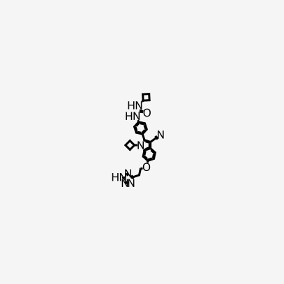 N#Cc1c(-c2ccc(NC(=O)NC3CCC3)cc2)n(C2CCC2)c2cc(OCCc3nn[nH]n3)ccc12